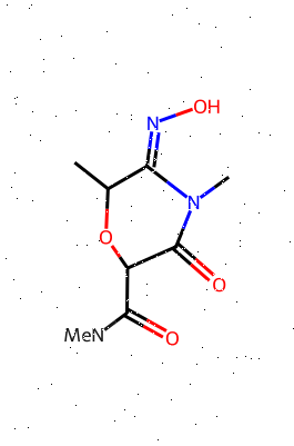 CNC(=O)C1OC(C)C(=NO)N(C)C1=O